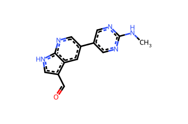 CNc1ncc(-c2cnc3[nH]cc(C=O)c3c2)cn1